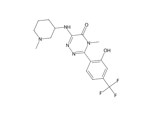 CN1CCCC(Nc2nnc(-c3ccc(C(F)(F)F)cc3O)n(C)c2=O)C1